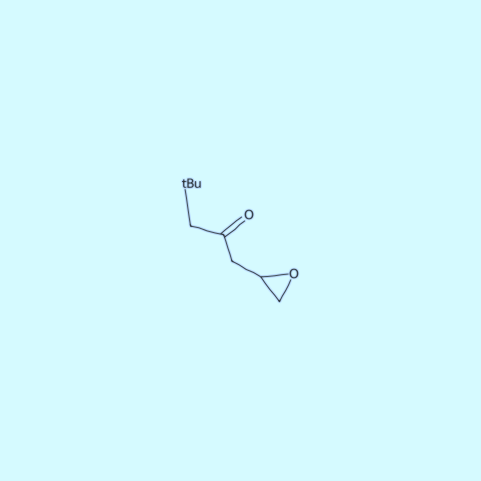 CC(C)(C)CC(=O)CC1CO1